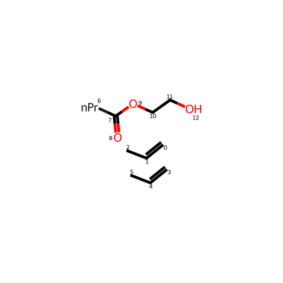 C=CC.C=CC.CCCC(=O)OCCO